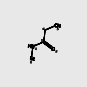 CCNC(=O)CC#N